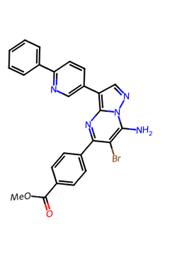 COC(=O)c1ccc(-c2nc3c(-c4ccc(-c5ccccc5)nc4)cnn3c(N)c2Br)cc1